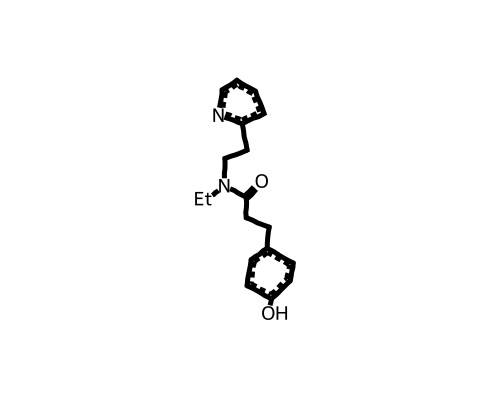 CCN(CCc1ccccn1)C(=O)CCc1ccc(O)cc1